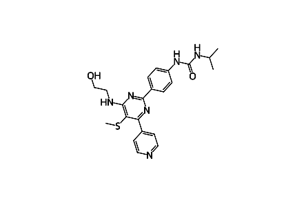 CSc1c(NCCO)nc(-c2ccc(NC(=O)NC(C)C)cc2)nc1-c1ccncc1